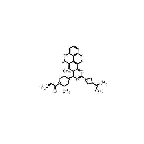 C=CC(=O)N1C[C@H](C)N(c2nc(N3CC(N(C)C)C3)nc3c(F)c(-c4c(F)cccc4F)c(Cl)cc23)C[C@H]1C